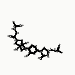 CC(=O)NC[C@H]1CN(c2ccc(N3C[C@@H]4CN(C(=O)COC(C)=O)C[C@@H]43)c(F)c2)C(=O)O1